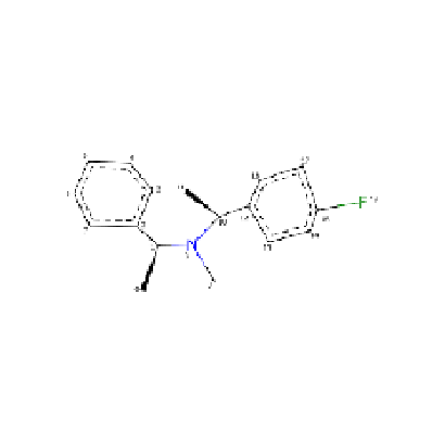 C[C@@H](c1ccccc1)N(C)[C@@H](C)c1ccc(F)cc1